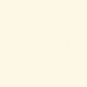 OC1CCCCC1Oc1cccc(CSc2ccc3ncccc3c2)c1